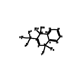 FC(F)(F)C1=CC(F)(F)c2ccccc2C1(F)F